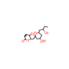 CCC(O)CC1CC(O)CC2(CC3OC(=O)C=CC3O2)O1